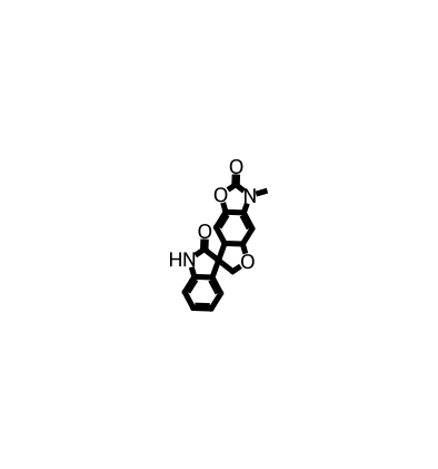 Cn1c(=O)oc2c1=CC1OCC3(C(=O)Nc4ccccc43)C1C=2